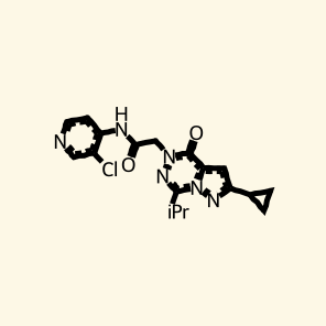 CC(C)c1nn(CC(=O)Nc2ccncc2Cl)c(=O)c2cc(C3CC3)nn12